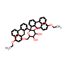 CCOc1ccc(Cc2c(-c3ccccc3)cccc2C2(c3cccc(-c4ccccc4)c3Cc3ccc(OCC)cc3)OC(CO)C(O)C(O)C2O)cc1